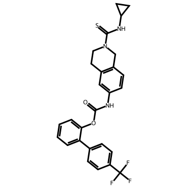 O=C(Nc1ccc2c(c1)CCN(C(=S)NC1CC1)C2)Oc1ccccc1-c1ccc(C(F)(F)F)cc1